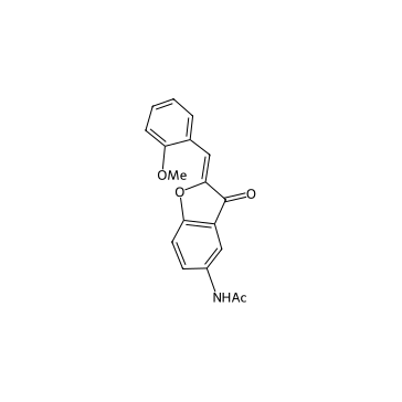 COc1ccccc1/C=C1\Oc2ccc(NC(C)=O)cc2C1=O